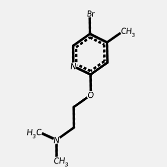 Cc1cc(OCCN(C)C)ncc1Br